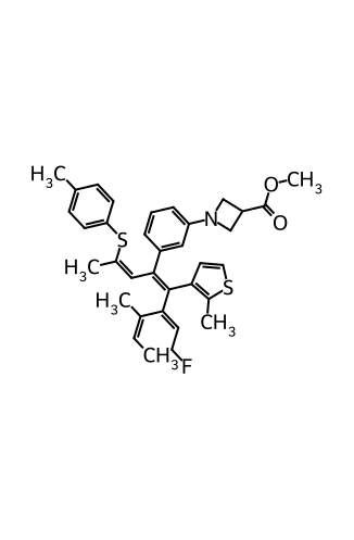 C\C=C(C)/C(=C\CF)C(=C(\C=C(\C)Sc1ccc(C)cc1)c1cccc(N2CC(C(=O)OC)C2)c1)/c1ccsc1C